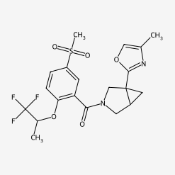 Cc1coc(C23CC2CN(C(=O)c2cc(S(C)(=O)=O)ccc2OC(C)C(F)(F)F)C3)n1